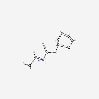 CO/C(C)=N/C(=O)Cc1ccccc1